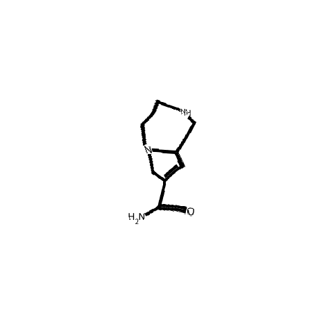 NC(=O)C1=CC2CNCCN2C1